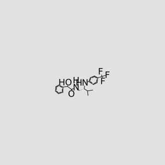 CC(C)[C@H](CNC(=O)[C@@H](O)c1ccccc1)Nc1ccc(C(F)(F)F)cc1